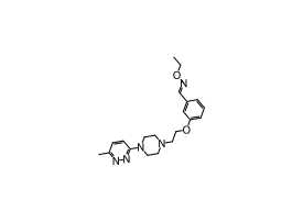 CCON=Cc1cccc(OCCN2CCN(c3ccc(C)nn3)CC2)c1